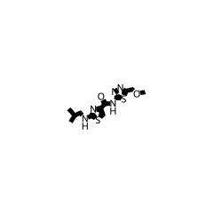 COCc1nnc(NC(=O)c2csc(NCC(C)C)n2)s1